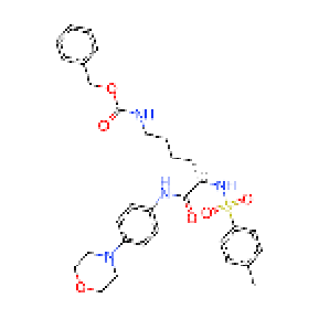 Cc1ccc(S(=O)(=O)N[C@@H](CCCCNC(=O)OCc2ccccc2)C(=O)Nc2ccc(N3CCOCC3)cc2)cc1